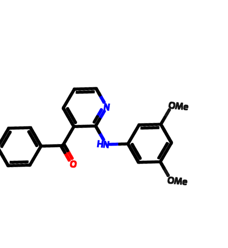 COc1cc(Nc2ncccc2C(=O)c2ccccc2)cc(OC)c1